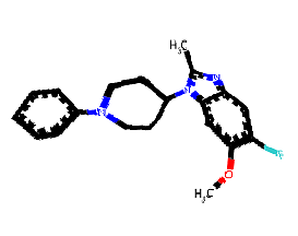 COc1cc2c(cc1F)nc(C)n2C1CCN(c2ccccc2)CC1